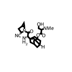 CNC(CO)C(=O)OC12CC3C[C@H](C1)CC([C@H](N)C(=O)N1C4CC4C[C@H]1C#N)(C3)C2